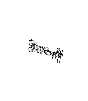 Cc1[nH]nnc1C(=O)NC[C@@H](O)CN1CCC(Oc2ccc(Cl)c(Cl)c2)CC1